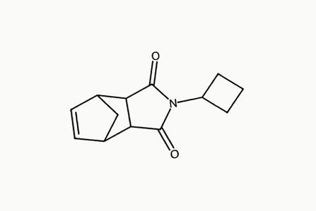 O=C1C2C3C=CC(C3)C2C(=O)N1C1CCC1